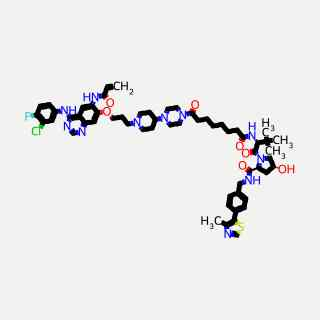 C=CC(=O)Nc1cc2c(Nc3ccc(F)c(Cl)c3)ncnc2cc1OCCCN1CCC(N2CCN(C(=O)CCCCCCC(=O)N[C@H](C(=O)N3C[C@H](O)C[C@H]3C(=O)NCc3ccc(-c4scnc4C)cc3)C(C)(C)C)CC2)CC1